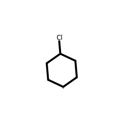 ClC1CC[CH]CC1